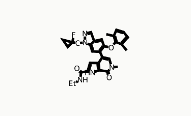 CCNC(=O)c1cc2c(-c3cc4c(cnn4CC4(F)CC4)cc3Oc3c(C)cccc3C)cn(C)c(=O)c2[nH]1